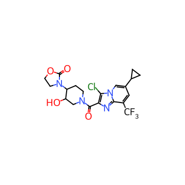 O=C(c1nc2c(C(F)(F)F)cc(C3CC3)cn2c1Cl)N1CCC(N2CCOC2=O)C(O)C1